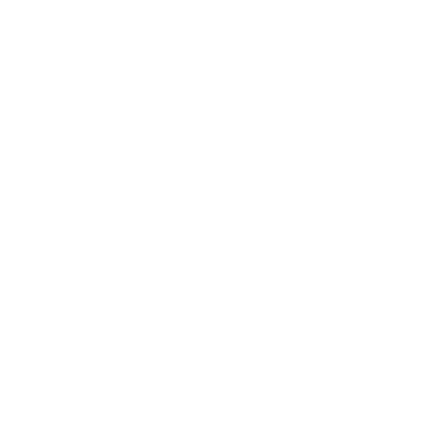 C=CCC(CC)CCCC1=CC=CC=CC1